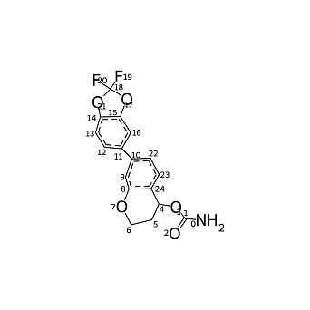 NC(=O)OC1CCOc2cc(-c3ccc4c(c3)OC(F)(F)O4)ccc21